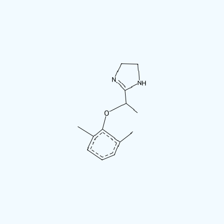 Cc1cccc(C)c1OC(C)C1=NCCN1